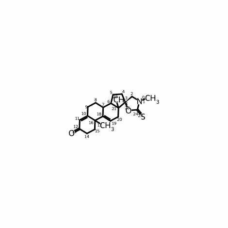 CN1C[C@@]2(CCC3C4CCC5=CC(=O)CCC5(C)C4=CCC32C)OC1=S